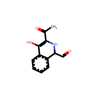 CC(=O)C1=C(O)c2ccccc2C(C=O)N1